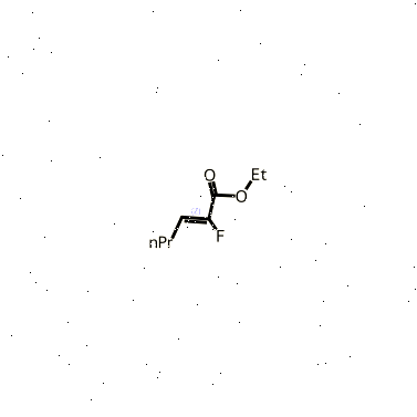 CCC/C=C(\F)C(=O)OCC